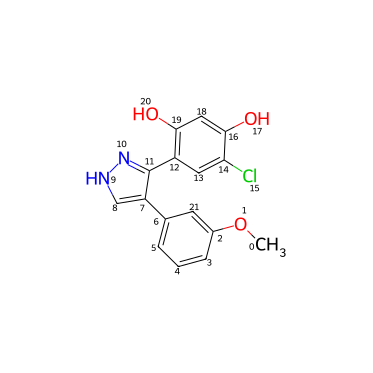 COc1cccc(-c2c[nH]nc2-c2cc(Cl)c(O)cc2O)c1